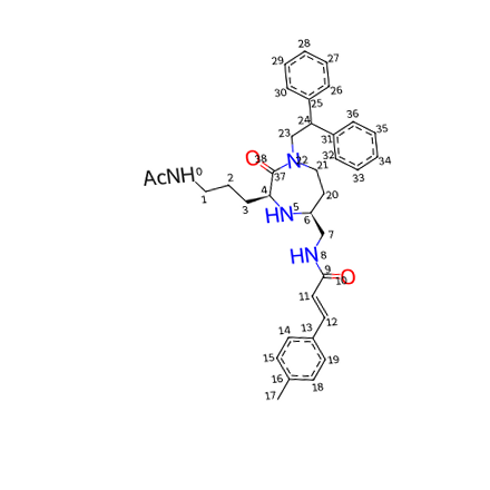 CC(=O)NCCC[C@@H]1N[C@H](CNC(=O)/C=C/c2ccc(C)cc2)CCN(CC(c2ccccc2)c2ccccc2)C1=O